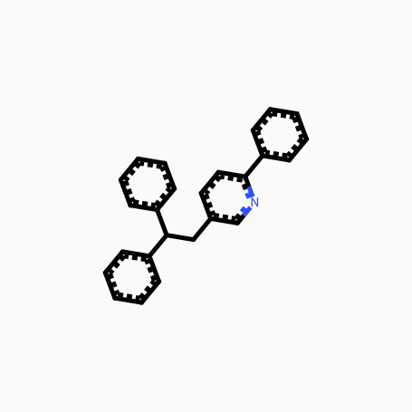 c1ccc(-c2ccc(CC(c3ccccc3)c3ccccc3)cn2)cc1